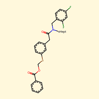 CCCCCCCN(Cc1ccc(F)cc1F)C(=O)Cc1cccc(SCOC(=O)c2ccccc2)c1